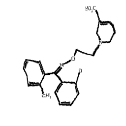 Cc1ccccc1/C(=N/OCCN1CCC=C(C(=O)O)C1)c1ccccc1Cl